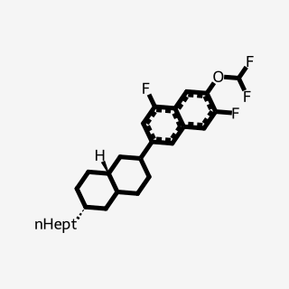 CCCCCCC[C@@H]1CC[C@@H]2CC(c3cc(F)c4cc(OC(F)F)c(F)cc4c3)CCC2C1